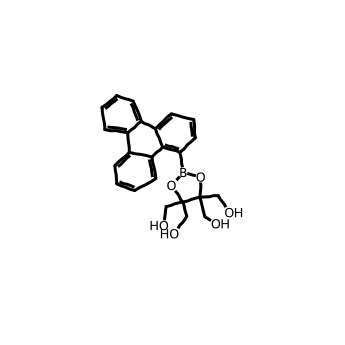 OCC1(CO)OB(c2cccc3c4ccccc4c4ccccc4c23)OC1(CO)CO